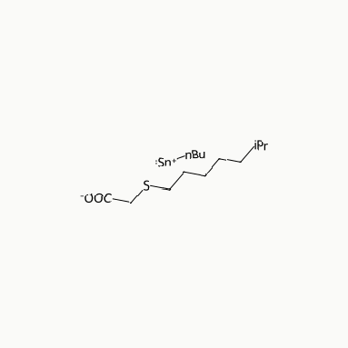 CC(C)CCCCCSCC(=O)[O-].CCC[CH2][Sn+]